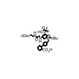 CCCCCCCCCCCCNC(=O)CNc1ccc2nc(CCCC)n(Cc3ccc(-c4ccccc4C(=O)O)cc3)c2c1.O=C(O)C(F)(F)F